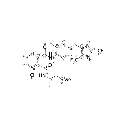 CSC[C@H](C)NC(=O)c1c(Cl)cccc1C(=O)Nc1ccc(Cn2nc(C(F)(F)F)nc2C(F)(F)F)nc1C